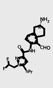 CCCc1cc(C(=O)Nc2ccc3c(c2C=O)CC[C@@H](N)C3)nn1CC(F)F